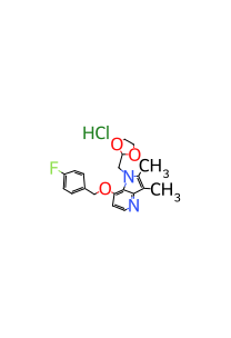 Cc1c(C)n(CC2OCCO2)c2c(OCc3ccc(F)cc3)ccnc12.Cl